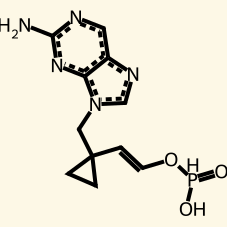 Nc1ncc2ncn(CC3(C=CO[PH](=O)O)CC3)c2n1